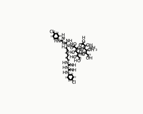 N.N=C(NCCCCCCNC(=N)NC(=N)Nc1ccc(Cl)cc1)NC(=N)Nc1ccc(Cl)cc1.O=C(O)[C@H](O)[C@@H](O)[C@H](O)[C@H](O)CO.O=C(O)[C@H](O)[C@@H](O)[C@H](O)[C@H](O)CO